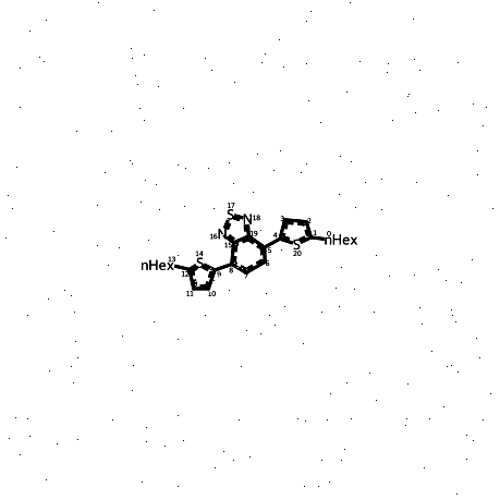 CCCCCCc1ccc(-c2ccc(-c3ccc(CCCCCC)s3)c3nsnc23)s1